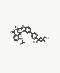 CC1(CO)CC(N)(c2ncc(-c3ccc4nc5n(c4c3)[C@H]3C[C@@H]5NC(=O)c4cccc(OC(F)F)c43)cn2)C1